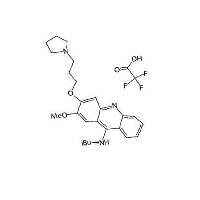 CC[C@H](C)Nc1c2ccccc2nc2cc(OCCCN3CCCC3)c(OC)cc12.O=C(O)C(F)(F)F